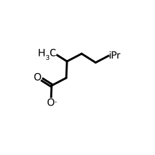 CC(C)CCC(C)CC([O])=O